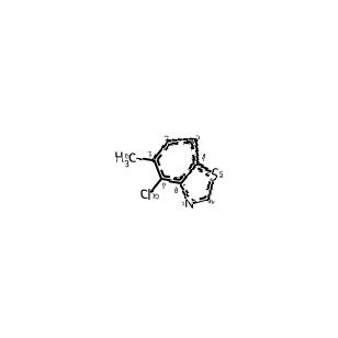 Cc1ccc2s[c]nc2c1Cl